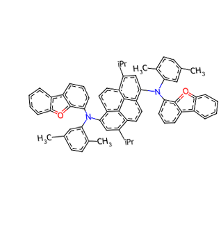 Cc1ccc(C)c(N(c2cc(C(C)C)c3ccc4c(N(c5cc(C)ccc5C)c5cccc6c5oc5ccccc56)cc(C(C)C)c5ccc2c3c54)c2cccc3c2oc2ccccc23)c1